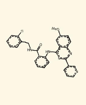 COc1ccc2nc(-c3cccnc3)nc(Nc3ccccc3C(=O)NCc3ccccc3Cl)c2c1